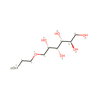 CCCCCCCCCCOC[C@H](O)[C@@H](O)[C@H](O)[C@H](O)CO